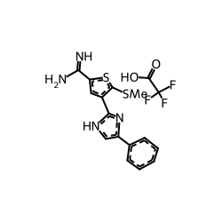 CSc1sc(C(=N)N)cc1-c1nc(-c2ccccc2)c[nH]1.O=C(O)C(F)(F)F